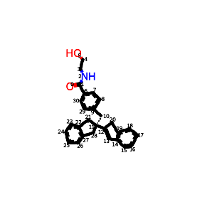 O=C(NCCO)c1ccc(C[C@@]2(C3=Cc4ccccc4C3)[CH]c3ccccc3C2)cc1